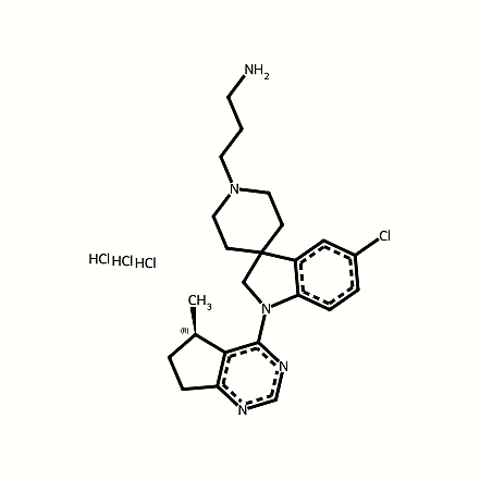 C[C@@H]1CCc2ncnc(N3CC4(CCN(CCCN)CC4)c4cc(Cl)ccc43)c21.Cl.Cl.Cl